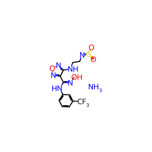 N.O=S(=O)=NCCNc1nonc1C(=NO)Nc1cccc(C(F)(F)F)c1